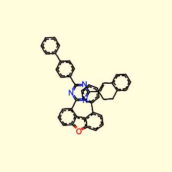 C1=C(c2nc(-c3ccc(-c4ccccc4)cc3)nc(-c3cccc4oc5cccc(-c6ccccc6)c5c34)n2)CCc2ccccc21